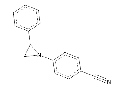 N#Cc1ccc(N2CC2c2ccccc2)cc1